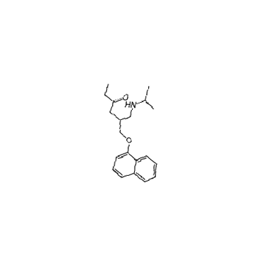 CCC(=O)CC(CNC(C)C)COc1cccc2ccccc12